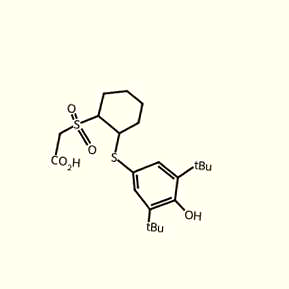 CC(C)(C)c1cc(SC2CCCCC2S(=O)(=O)CC(=O)O)cc(C(C)(C)C)c1O